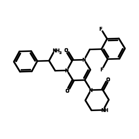 NC(Cn1c(=O)c(N2CCNCC2=O)cn(Cc2c(F)cccc2F)c1=O)c1ccccc1